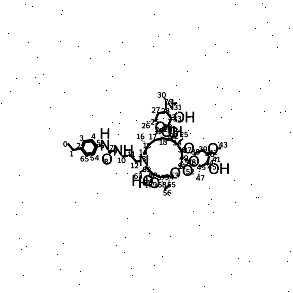 CCc1ccc(NC(=O)NCCCN2C[C@H](C)C[C@@](C)(O)[C@H](O[C@@H]3O[C@H](C)C[C@H](N(C)C)[C@H]3O)[C@@H](C)[C@H](O[C@H]3C[C@@](C)(OC)[C@@H](O)[C@H](C)O3)[C@@H](C)C(=O)O[C@H](CC)[C@@](C)(O)[C@H](O)[C@H]2C)cc1